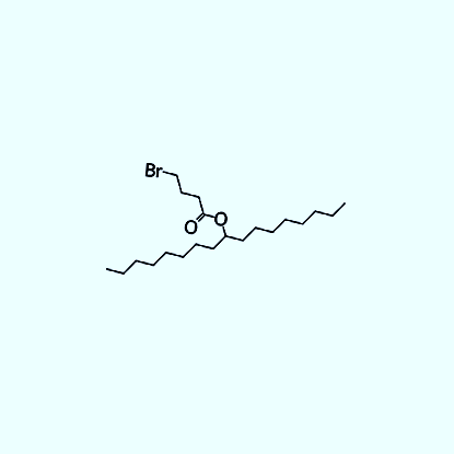 CCCCCCCCC(CCCCCCCC)OC(=O)CCCBr